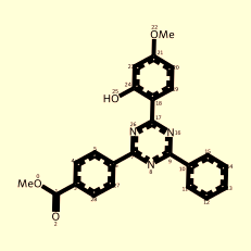 COC(=O)c1ccc(-c2nc(-c3ccccc3)nc(-c3ccc(OC)cc3O)n2)cc1